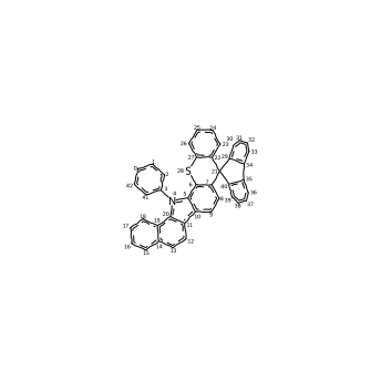 c1ccc(-n2c3c4c(ccc3c3ccc5ccccc5c32)C2(c3ccccc3S4)c3ccccc3-c3ccccc32)cc1